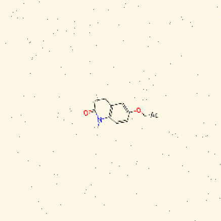 CC(=O)COc1ccc2c(c1)CCC(=O)N2C